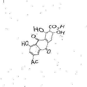 CC(=O)c1cc(O)c2c(c1)C(=O)c1cc(O)c(C(=O)O)c(O)c1C2=O